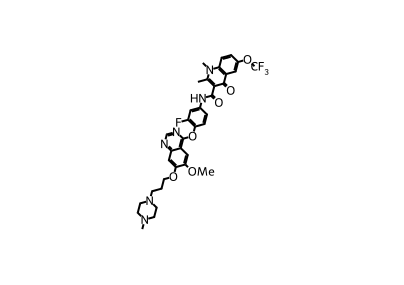 COc1cc2c(Oc3ccc(NC(=O)c4c(C)n(C)c5ccc(OC(F)(F)F)cc5c4=O)cc3F)ncnc2cc1OCCCN1CCN(C)CC1